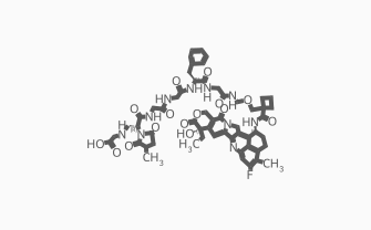 CC[C@@]1(O)C(=O)OCc2c1cc1n(c2=O)Cc2c-1nc1cc(F)c(C)c3c1c2[C@@H](NC(=O)C1(COCNC(=O)CNC(=O)[C@H](Cc2ccccc2)NC(=O)CNC(=O)CNC(=O)[C@@H](CNCC(=O)O)N2C(=O)CC(C)C2=O)CCC1)CC3